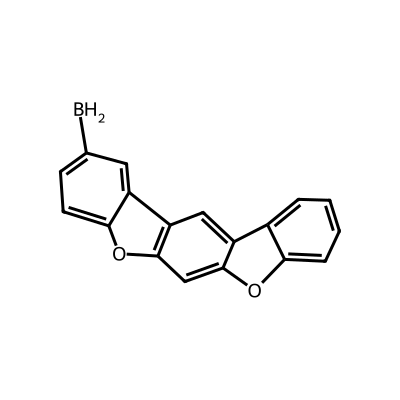 Bc1ccc2oc3cc4oc5ccccc5c4cc3c2c1